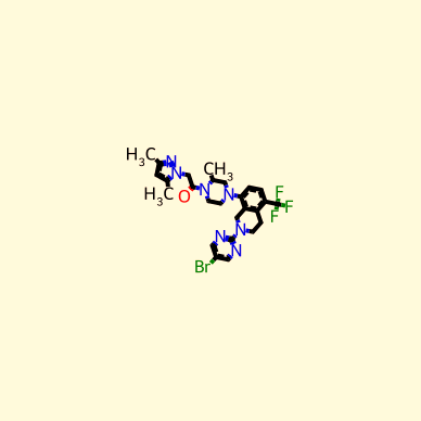 Cc1cc(C)n(CC(=O)N2CCN(c3ccc(C(F)(F)F)c4c3CN(c3ncc(Br)cn3)CC4)CC2C)n1